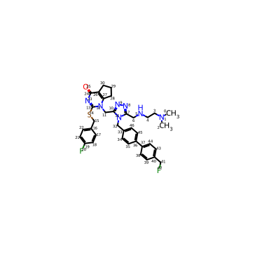 CN(C)CCNCc1nnc(Cn2c(SCc3ccc(F)cc3)nc(=O)c3c2CCC3)n1Cc1ccc(-c2ccc(CF)cc2)cc1